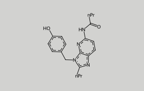 CCCC(=O)Nc1ccc2nc(CCC)n(Cc3ccc(O)cc3)c2n1